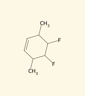 CC1C=CC(C)C(F)C1F